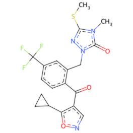 CSc1nn(Cc2cc(C(F)(F)F)ccc2C(=O)c2cnoc2C2CC2)c(=O)n1C